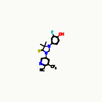 CC1(C)C(=S)N(c2cnc(C#N)c(C(F)(F)F)c2)CN1c1ccc(O)c(F)c1